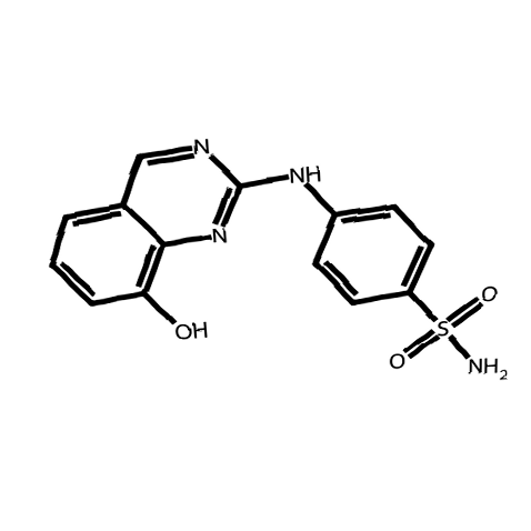 NS(=O)(=O)c1ccc(Nc2ncc3cccc(O)c3n2)cc1